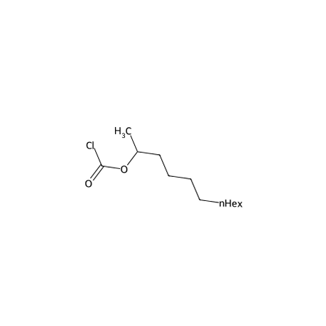 CCCCCCCCCCC(C)OC(=O)Cl